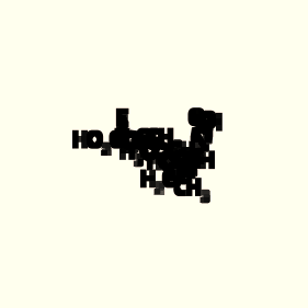 C=C(C)[C@@H]1CC[C@]2(NCCN3CCC([SH](=O)=O)CC3)CC[C@]3(C)[C@H](CC[C@@H]4[C@@]5(C)CC=C(C6=CC[C@@](CCF)(C(=O)O)CC6)C(C)(C)[C@@H]5CC[C@]43C)[C@@H]12